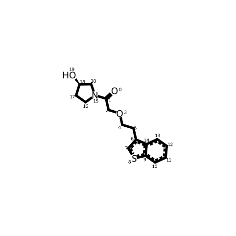 O=C(COCCc1csc2ccccc12)N1CC[C@@H](O)C1